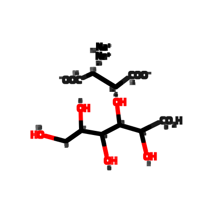 O=C(O)C(O)C(O)C(O)C(O)CO.O=C([O-])CCC(=O)[O-].[Na+].[Na+]